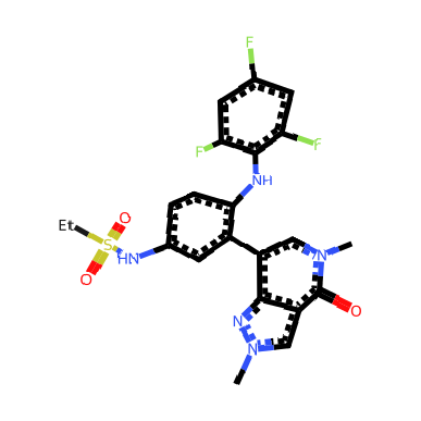 CCS(=O)(=O)Nc1ccc(Nc2c(F)cc(F)cc2F)c(-c2cn(C)c(=O)c3cn(C)nc23)c1